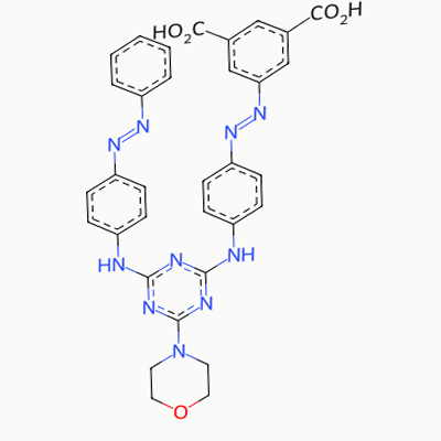 O=C(O)c1cc(N=Nc2ccc(Nc3nc(Nc4ccc(N=Nc5ccccc5)cc4)nc(N4CCOCC4)n3)cc2)cc(C(=O)O)c1